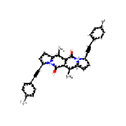 Cc1c2c(=O)n3c(C#Cc4ccc(C(F)(F)F)cc4)ccc3c(C)c2c(=O)n2c(C#Cc3ccc(C(F)(F)F)cc3)ccc12